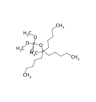 CCCCCP(C)(CCCCC)(CCCCC)OP(=O)(OC)OC